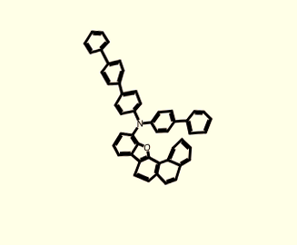 c1ccc(-c2ccc(-c3ccc(N(c4ccc(-c5ccccc5)cc4)c4cccc5c4oc4c5ccc5ccc6ccccc6c54)cc3)cc2)cc1